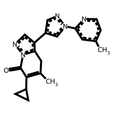 CC1=C(C2CC2)C(=O)n2ncc(-c3cnn(-c4cc(C)ccn4)c3)c2C1